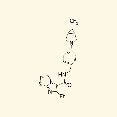 CCc1nc2sccn2c1C(=O)NCc1ccc(N2CC3C(C2)C3C(F)(F)F)cc1